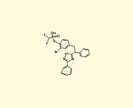 O=P(O)(Oc1ccc(CC(c2ccccc2)c2nc(-c3ccccc3)no2)cc1Br)C(F)F